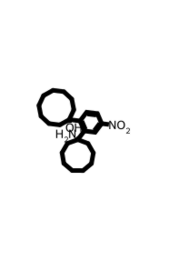 NC1(c2cc([N+](=O)[O-])ccc2C2(O)CCCCCCCCC2)CCCCCCCC1